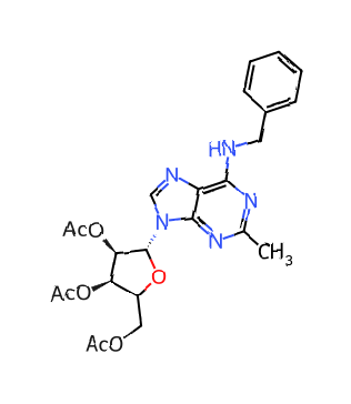 CC(=O)OCC1O[C@@H](n2cnc3c(NCc4ccccc4)nc(C)nc32)[C@H](OC(C)=O)[C@@H]1OC(C)=O